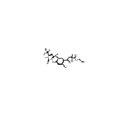 CCCOC(=O)C1(C)CC(c2cc(N(C)C(=O)/C=C(\N(C)C=O)C(F)(F)F)c(F)cc2Cl)=NO1